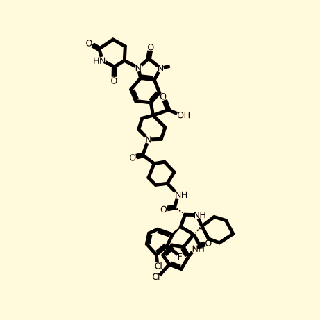 Cn1c(=O)n(C2CCC(=O)NC2=O)c2ccc(C3(C(=O)O)CCN(C(=O)C4CCC(NC(=O)[C@@H]5NC6(CCCCC6)[C@@]6(C(=O)Nc7cc(Cl)ccc76)[C@H]5c5cccc(Cl)c5F)CC4)CC3)cc21